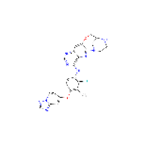 Cc1c(Oc2ccn3ncnc3c2)ccc(Nc2ncnc3cc4c(nc23)N2CCNC(CO4)C2)c1F